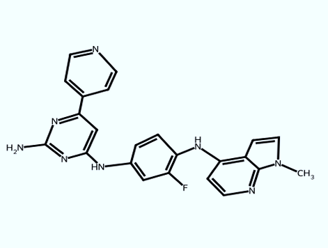 Cn1ccc2c(Nc3ccc(Nc4cc(-c5ccncc5)nc(N)n4)cc3F)ccnc21